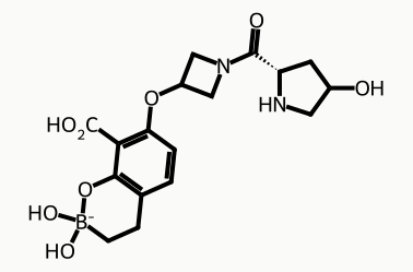 O=C(O)c1c(OC2CN(C(=O)[C@@H]3CC(O)CN3)C2)ccc2c1O[B-](O)(O)CC2